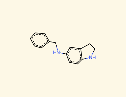 c1ccc(CNc2ccc3c(c2)CCN3)cc1